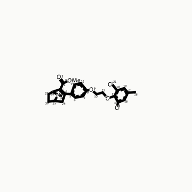 COC(=O)C1=C(c2ccc(OCCOc3c(Cl)cc(C)cc3Cl)cc2)CC2CCC1N2C